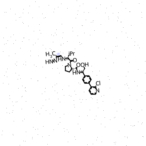 C/C(=C/N[C@H](C(=O)N1CCC[C@H]1C(=O)N[C@@H](CO)c1ccc(-c2cccnc2Cl)cc1)C(C)C)N=N